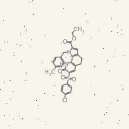 CCOC(=O)c1cc2c(n1Cc1ccc(C)cc1)-c1[nH]c(=O)c(S(=O)(=O)c3ccc(Cl)cc3)cc1CC2